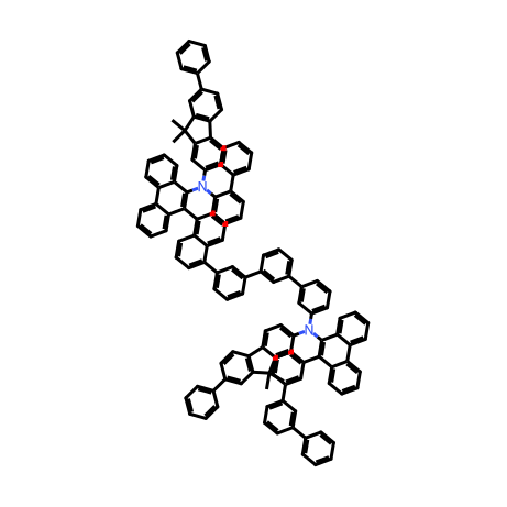 CC1(C)c2cc(-c3ccccc3)ccc2-c2ccc(N(c3cccc(-c4cccc(-c5cccc(-c6cccc7c(-c8c(N(c9ccc%10c(c9)C(C)(C)c9cc(-c%11ccccc%11)ccc9-%10)c9ccccc9-c9ccccc9)c9ccccc9c9ccccc89)cccc67)c5)c4)c3)c3c(-c4cccc(-c5cccc(-c6ccccc6)c5)c4)c4ccccc4c4ccccc34)cc21